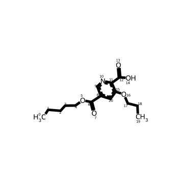 CCCCCOC(=O)c1cnc(C(=O)O)c(OCCC)c1